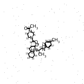 CC(=O)N1CCN(C(=O)C[C@@H](CC2CCCCC2)C(=O)N[C@@H](C)CNc2ccc(C)cc2)CC1